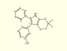 CC1(C)CCc2c([nH]c(-c3ccccn3)c2-c2cccc(Cl)c2)C1